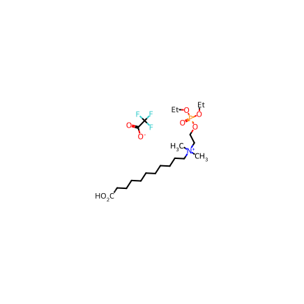 CCOP(=O)(OCC)OCC[N+](C)(C)CCCCCCCCCCC(=O)O.O=C([O-])C(F)(F)F